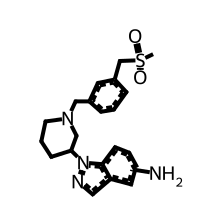 CS(=O)(=O)Cc1cccc(CN2CCCC(n3ncc4cc(N)ccc43)C2)c1